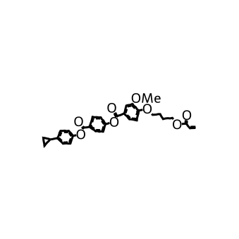 C=CC(=O)OCCCCOc1ccc(C(=O)Oc2ccc(C(=O)Oc3ccc(C4CC4)cc3)cc2)cc1OC